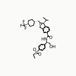 CCS(=O)(=O)c1ccc([C@H](CO)NC(=O)c2ccc3c(c2)CN(C[C@H]2CC[C@H](C(F)(F)F)CC2)[C@H]3C(C)C)cc1